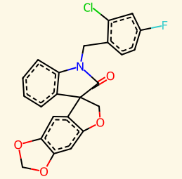 O=C1N(Cc2ccc(F)cc2Cl)c2ccccc2C12COc1cc3c(cc12)OCO3